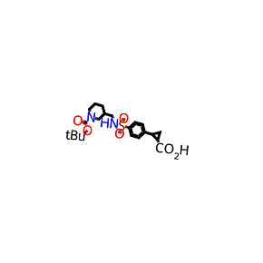 CC(C)(C)OC(=O)N1CCCC(CNS(=O)(=O)c2ccc(C3CC3C(=O)O)cc2)C1